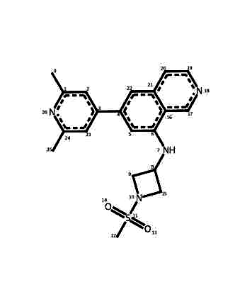 Cc1cc(-c2cc(NC3CN(S(C)(=O)=O)C3)c3cnccc3c2)cc(C)n1